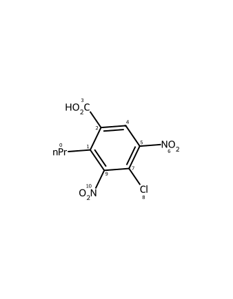 CCCc1c(C(=O)O)cc([N+](=O)[O-])c(Cl)c1[N+](=O)[O-]